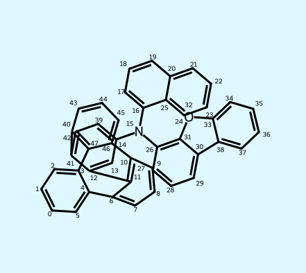 c1ccc2c(c1)-c1cccc3c1-c1cc(N(c4cccc5ccccc45)c4cccc5c4oc4ccccc45)ccc1-c1cccc-3c1-2